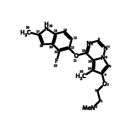 CNCCOc1cn2ncnc(Oc3ccc4[nH]c(C)cc4c3F)c2c1C